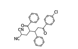 N#CC(C#N)CC(C(=O)c1ccccc1)C(CC(=O)c1ccc(Cl)cc1)c1ccccc1